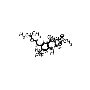 CC(C)OCCc1cc2c(=O)n(NS(C)(=O)=O)c(=O)[nH]c2cc1C(F)(F)F